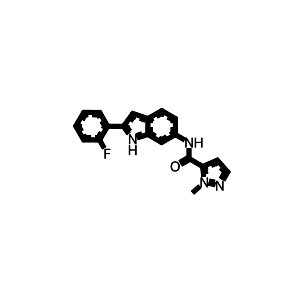 Cn1nccc1C(=O)Nc1ccc2cc(-c3ccccc3F)[nH]c2c1